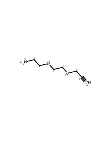 C#CCOCCOCCN